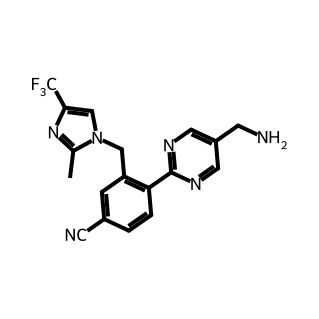 Cc1nc(C(F)(F)F)cn1Cc1cc(C#N)ccc1-c1ncc(CN)cn1